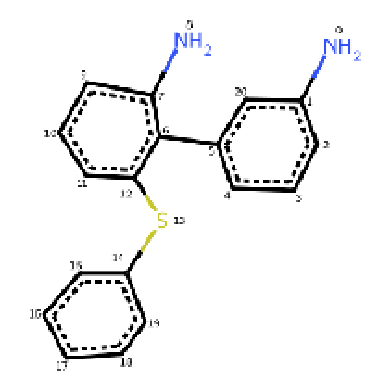 Nc1cccc(-c2c(N)cccc2Sc2ccccc2)c1